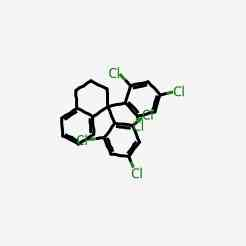 Clc1cc(Cl)c(C2(c3c(Cl)cc(Cl)cc3Cl)CCCc3ccccc32)c(Cl)c1